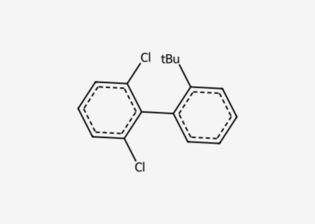 CC(C)(C)c1ccccc1-c1c(Cl)cccc1Cl